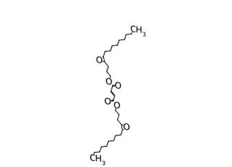 CCCCCCCCCC1OC1CCCOC(=O)C=CC(=O)OCCCC1OC1CCCCCCCCC